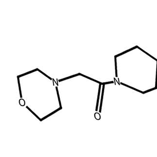 O=C(CN1CCOCC1)N1CCCCC1